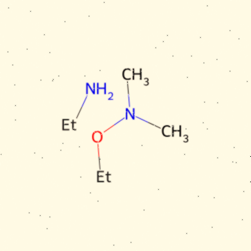 CCN.CCON(C)C